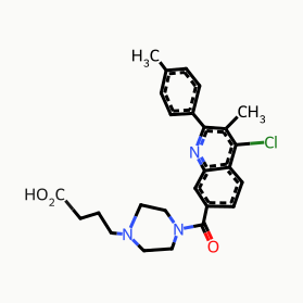 Cc1ccc(-c2nc3cc(C(=O)N4CCN(CCCC(=O)O)CC4)ccc3c(Cl)c2C)cc1